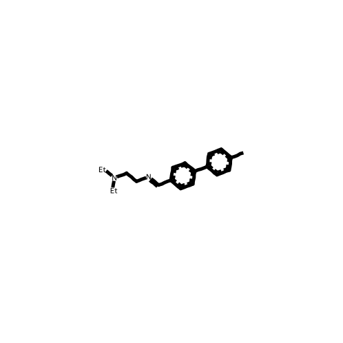 CCN(CC)CC/N=C/c1ccc(-c2ccc(C)cc2)cc1